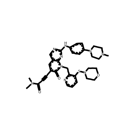 CN1CCN(c2ccc(Nc3ncc4cc(C#CC(=O)N(C)C)c(=O)n(Cc5ncccc5SN5CCOCC5)c4n3)cc2)CC1